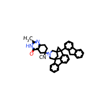 Cc1nc2c(c(=O)[nH]1)CC(C#N)(N1CCCC3(C1)CC3(c1cccc3c1Cc1ccccc1-3)c1cccc3c1Cc1ccccc1-3)CC2